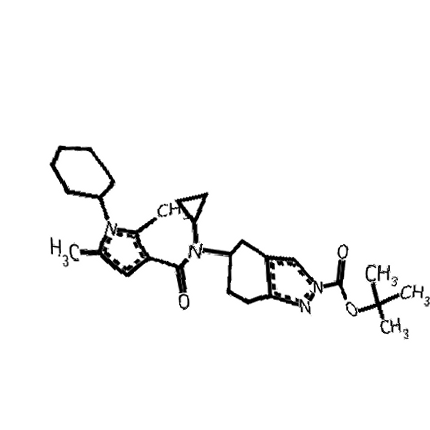 Cc1cc(C(=O)N(C2CC2)C2CCc3nn(C(=O)OC(C)(C)C)cc3C2)c(C)n1C1CCCCC1